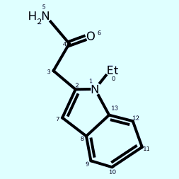 CCn1c(CC(N)=O)cc2ccccc21